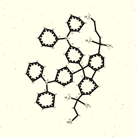 CCCCC(C)(C)c1ccc2c(c1)C(c1ccc(N(c3ccccc3)c3ccccc3)cc1)(c1ccc(N(c3ccccc3)c3ccccc3)cc1)c1cc(C(C)(C)CCO)ccc1-2